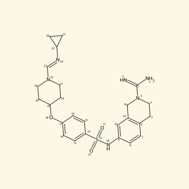 N=C(N)N1CCc2ccc(NS(=O)(=O)c3ccc(OC4CCN(C=NC5CC5)CC4)cc3)cc2C1